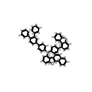 c1ccc(-c2ccc(-c3ccc(N(c4ccc(-c5cccc6sc7ccccc7c56)cc4)c4cccc5oc6c7ccccc7ccc6c45)cc3)cc2-c2ccccc2)cc1